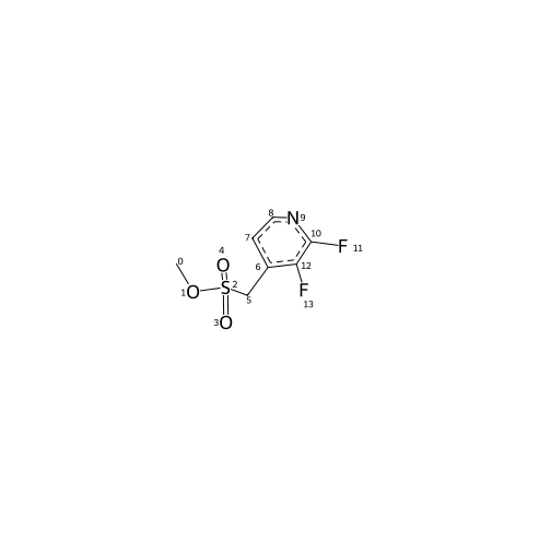 COS(=O)(=O)Cc1ccnc(F)c1F